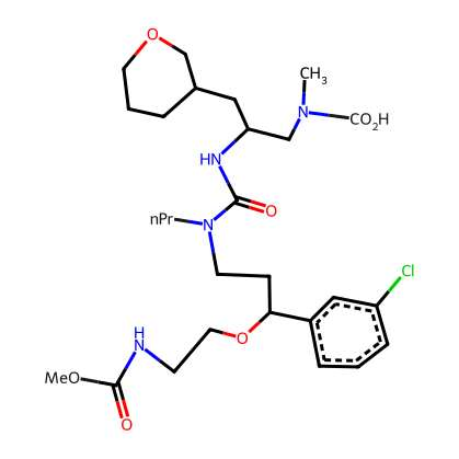 CCCN(CCC(OCCNC(=O)OC)c1cccc(Cl)c1)C(=O)NC(CC1CCCOC1)CN(C)C(=O)O